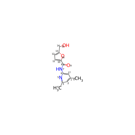 Cc1cc(C)nc(NC(=O)c2ccc(CO)o2)c1